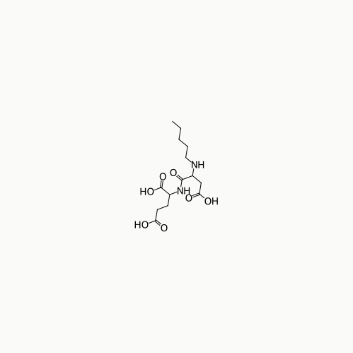 CCCCCNC(CC(=O)O)C(=O)NC(CCC(=O)O)C(=O)O